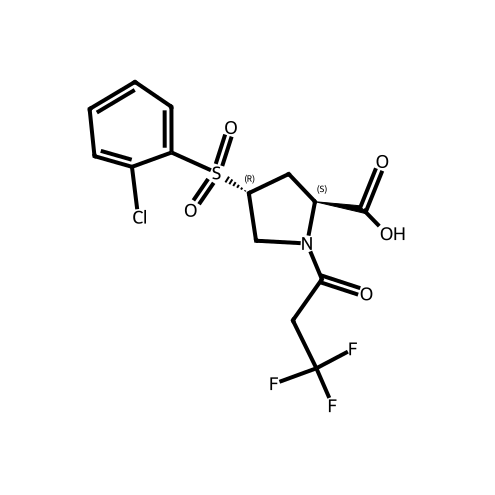 O=C(O)[C@@H]1C[C@@H](S(=O)(=O)c2ccccc2Cl)CN1C(=O)CC(F)(F)F